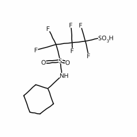 O=S(=O)(O)C(F)(F)C(F)(F)C(F)(F)S(=O)(=O)NC1CCCCC1